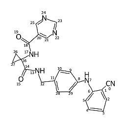 N#Cc1ccccc1Nc1ccc(CNC(=O)C2(NC(=O)c3cncnc3)CC2)cc1